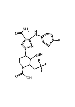 N#CC1C(CC(F)(F)F)N(C(=O)O)CCC1n1cc(C(N)=O)c(Nc2ccc(F)cc2)n1